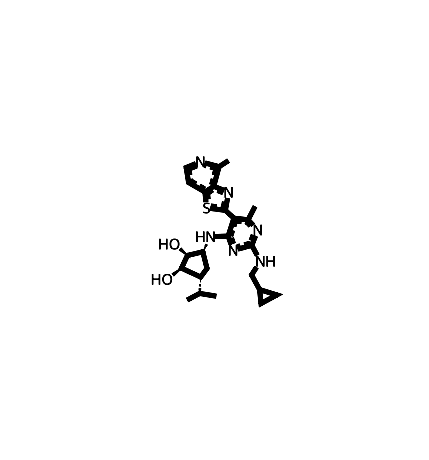 Cc1nc(NCC2CC2)nc(N[C@@H]2C[C@H](C(C)C)[C@@H](O)[C@H]2O)c1-c1nc2c(C)nccc2s1